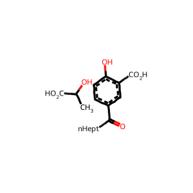 CC(O)C(=O)O.CCCCCCCC(=O)c1ccc(O)c(C(=O)O)c1